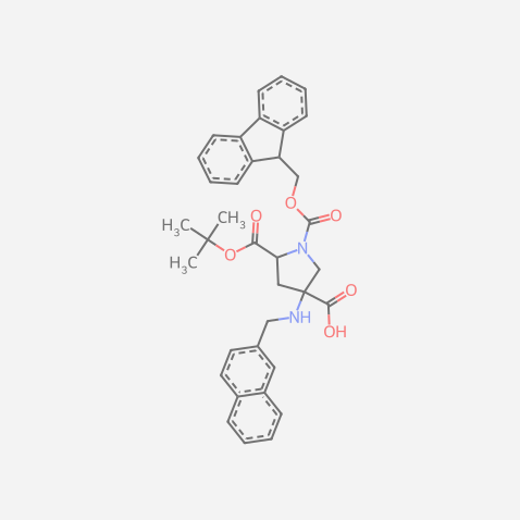 CC(C)(C)OC(=O)C1CC(NCc2ccc3ccccc3c2)(C(=O)O)CN1C(=O)OCC1c2ccccc2-c2ccccc21